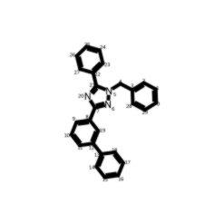 c1ccc(Cn2nc(-c3cccc(-c4ccccc4)c3)nc2-c2ccccc2)cc1